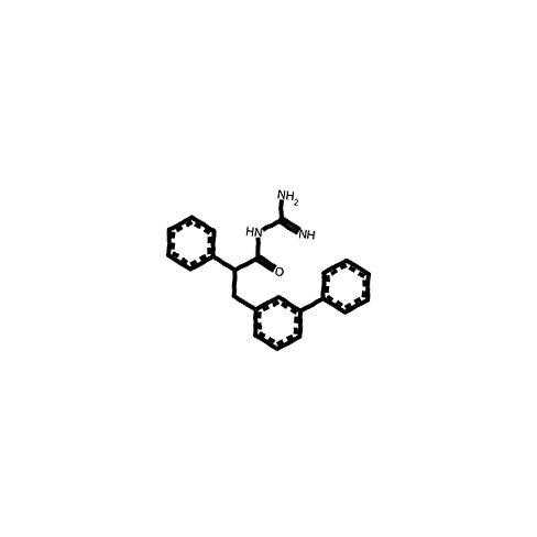 N=C(N)NC(=O)C(Cc1cccc(-c2ccccc2)c1)c1ccccc1